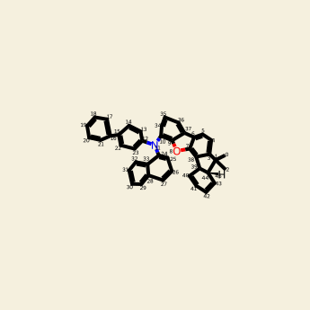 CC1(C)c2ccc3c(oc4c(N(c5ccc(-c6ccccc6)cc5)c5cccc6ccccc56)cccc43)c2C2C=CC=C[C@H]21